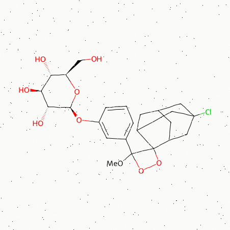 COC1(c2cccc(O[C@@H]3O[C@H](CO)[C@@H](O)[C@H](O)[C@H]3O)c2)OOC12C1CC3CC2CC(Cl)(C3)C1